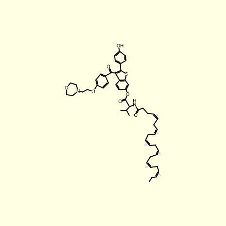 CC/C=C\C/C=C\C/C=C\C/C=C\C/C=C\C/C=C\CCC(=O)NC(C(=O)Oc1ccc2c(C(=O)c3ccc(OCCN4CCOCC4)cc3)c(-c3ccc(O)cc3)sc2c1)C(C)C